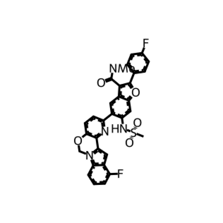 CNC(=O)c1c(-c2ccc(F)cc2)oc2cc(NS(C)(=O)=O)c(-c3ccc4c(n3)-c3cc5c(F)cccc5n3CO4)cc12